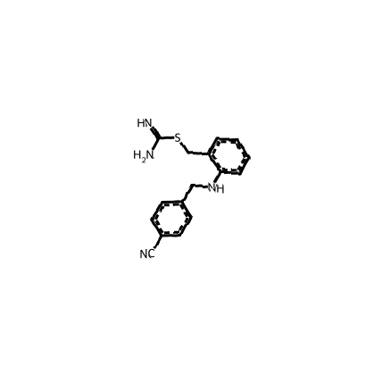 N#Cc1ccc(CNc2ccccc2CSC(=N)N)cc1